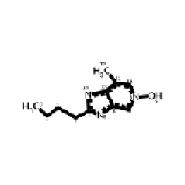 CCCCc1nc2cn(O)cc(C)c-2n1